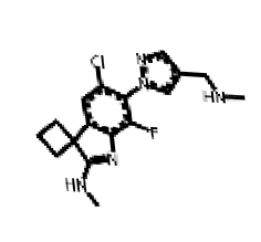 CNCc1cnn(-c2c(Cl)cc3c(c2F)N=C(NC)C32CCC2)c1